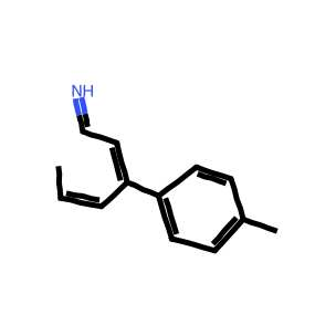 C/C=C\C(=C/C=N)c1ccc(C)cc1